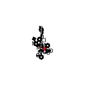 COc1ccccc1-c1nccc(COc2ccccc2C[C@@H](Oc2nsc3cnc(C4CCC4)c(-c4ccc(OCCN5CCN(C)CC5)c(Cl)c4C)c23)C(=O)OCc2oc(=O)oc2C)n1